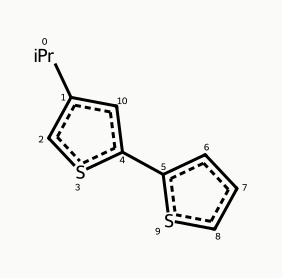 CC(C)c1csc(-c2cccs2)c1